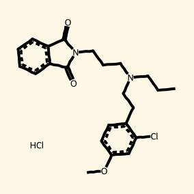 CCCN(CCCN1C(=O)c2ccccc2C1=O)CCc1ccc(OC)cc1Cl.Cl